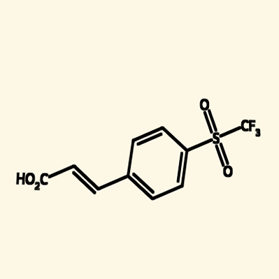 O=C(O)C=Cc1ccc(S(=O)(=O)C(F)(F)F)cc1